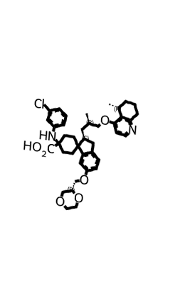 C[C@@H](COc1ccnc2c1[C@H](C)CCC2)C[C@H]1Cc2ccc(OC[C@H]3COCCO3)cc2C12CCC(Nc1cccc(Cl)c1)(C(=O)O)CC2